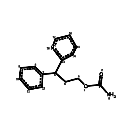 NC(=O)OCCC(c1ccccc1)c1ccccn1